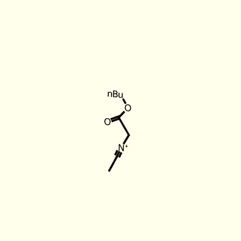 CC#[N+]CC(=O)OCCCC